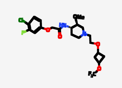 CO[C@H]1CN(CCOC2CC(OC(F)(F)F)C2)CC[C@@H]1NC(=O)COc1ccc(Cl)c(F)c1